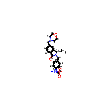 C[C@H]1c2cc(CN3CCOCC3)ccc2C(=O)N1Cc1ccc2[nH]c(=O)oc2c1